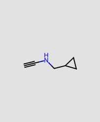 C#CNCC1CC1